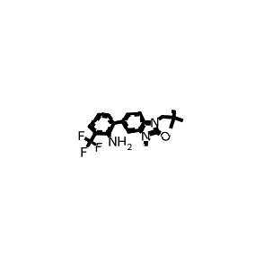 Cn1c(=O)n(CC(C)(C)C)c2ccc(-c3cccc(C(F)(F)F)c3N)cc21